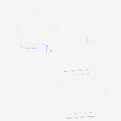 [Br-].c1ccc(-[n+]2ccsc2)cc1